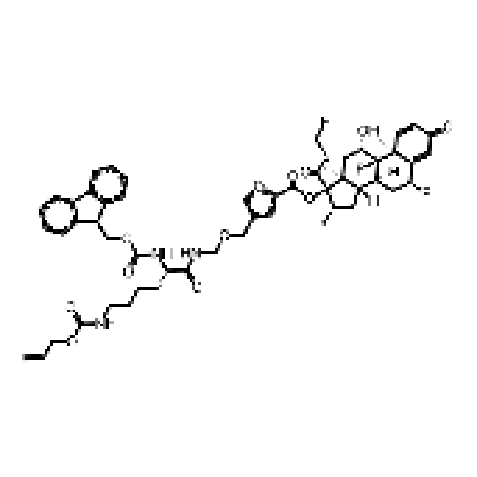 C=CCOC(=O)NCCCC[C@H](NC(=O)OCC1c2ccccc2-c2ccccc21)C(=O)NCOCc1coc(C(=O)O[C@]2(C(=O)SCF)[C@H](C)C[C@H]3[C@@H]4C[C@H](F)C5=CC(=O)C=C[C@]5(C)[C@@]4(F)[C@@H](O)C[C@@]32C)c1